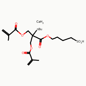 C=C(C)C(=O)OCC(CCCC)(COC(=O)C(=C)C)C(=O)OCCCCS(=O)(=O)O.[CaH2]